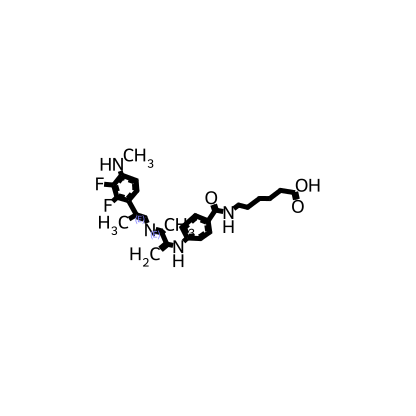 C=C(Nc1ccc(C(=O)NCCCCCC(=O)O)cc1)/C(C)=N/C=C(\C)c1ccc(NC)c(F)c1F